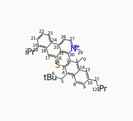 Cc1c2c(c(CC(C)(C)C)c3ccc(CC(C)C)cc13)Sc1cc3c(C(C)C)cccc3c3cc[n+](C)c-2c13